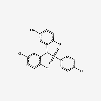 [C-]#[N+]c1ccc(F)c(C(c2cc(Cl)ncc2Cl)S(=O)(=O)c2ccc(Cl)cc2)c1